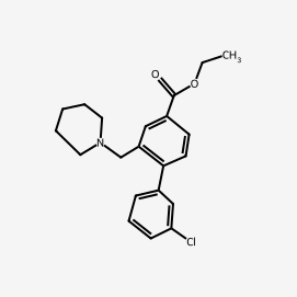 CCOC(=O)c1ccc(-c2cccc(Cl)c2)c(CN2CCCCC2)c1